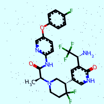 C[C@@H](C(=O)Nc1ccc(Oc2ccc(F)cc2)cn1)N1CCC(F)(F)[C@@H](c2c[nH]c(=O)c([C@@H](N)C(F)(F)F)c2)C1